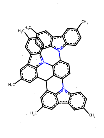 Cc1ccc2c(c1)c1cc(C)ccc1n2-c1ccc2c3c1-n1c4ccc(C)cc4c4cc(C)cc(c41)C3c1cc(C)cc3c4cc(C)ccc4n-2c13